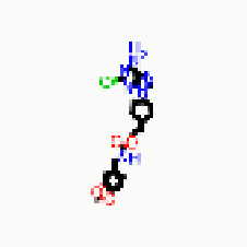 Nc1nc(Cl)nc2c1ncn2C1CCC(CCOC(=O)NCc2ccc3c(c2)OCO3)CC1